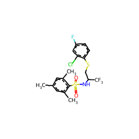 Cc1cc(C)c(S(=O)(=O)NC(CSc2ccc(F)cc2Cl)C(F)(F)F)c(C)c1